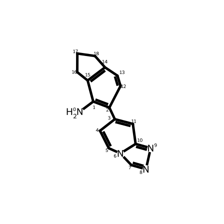 Nc1c(-c2ccn3cnnc3c2)ccc2c1CCC2